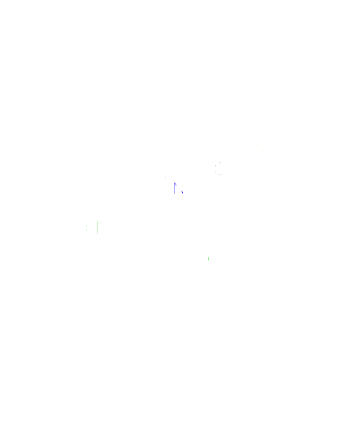 CC(Cl)=C(Cl)N=C=S